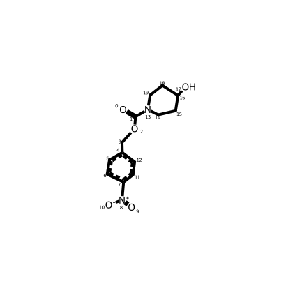 O=C(OCc1ccc([N+](=O)[O-])cc1)N1CCC(O)CC1